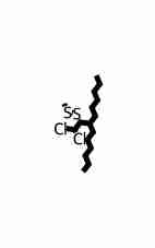 CCCCCCC(CCCCCC)[C@H](SSC)C(Cl)Cl